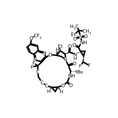 CC[C@@H]1[C@@H]2CN(C(=O)[C@H](C(C)(C)C)NC(=O)O[C@@H]3C[C@H]3CCCCC(F)(F)c3nc4ccc(OC(F)(F)F)cc4nc3O2)[C@@H]1C(=O)N[C@]1(C(=O)NS(=O)(=O)C(C)(C)CC)C[C@H]1C(F)F